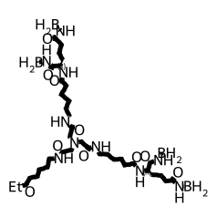 BNC(=O)CCC[C@@H](NC(=O)CCCCCNC(=O)CN(CC(=O)NCCCCCC(=O)CC)CC(=O)NCCCCCC(=O)N[C@H](CCCC(=O)NB)C(=O)NB)C(=O)NB